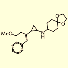 COCCC(=Cc1ccccc1)C1CC1NC1CCC2(CC1)OCCO2